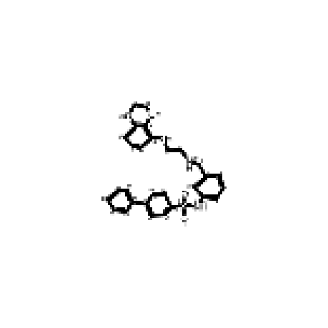 O=S(=O)(Nc1cccc(CNCCOc2cccc3c2OCCO3)c1)c1ccc(-c2ccccc2)cc1